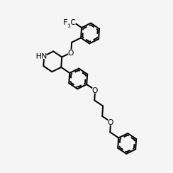 FC(F)(F)c1ccccc1COC1CNCCC1c1ccc(OCCCOCc2ccccc2)cc1